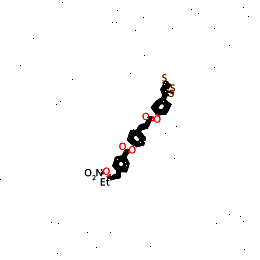 CCC(Cc1ccc(C(=O)Oc2ccc(/C=C/C(=O)Oc3ccc(-c4cc(=S)ss4)cc3)cc2)cc1)O[N+](=O)[O-]